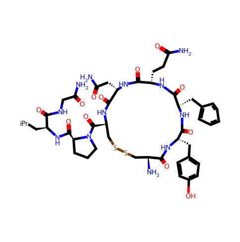 CC(C)C[C@H](NC(=O)[C@@H]1CCCN1C(=O)[C@@H]1CSSC[C@H](N)C(=O)N[C@@H](Cc2ccc(O)cc2)C(=O)N[C@@H](Cc2ccccc2)C(=O)N[C@@H](CCC(N)=O)C(=O)N[C@@H](CC(N)=O)C(=O)N1)C(=O)NCC(N)=O